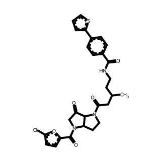 CC(CCNC(=O)c1ccc(-c2cccs2)cc1)CC(=O)N1CCC2C1C(=O)CN2C(=O)c1ccc(Cl)o1